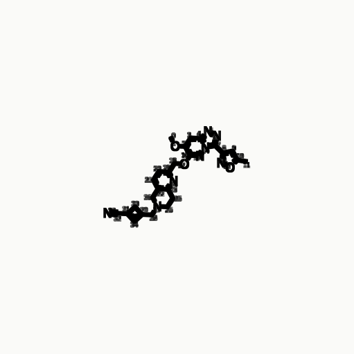 COc1cc2nnc(-c3cc(C)on3)n2nc1OCc1ccc2c(n1)CCN(CC13CC(C#N)(C1)C3)C2